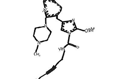 COc1nc(-c2cccnc2N2CCN(C)CC2)cn1C(=O)NCC#CC(C)C